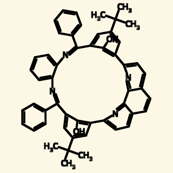 CC(C)(C)c1cc2c(-c3ccccc3)nc3ccccc3nc(-c3ccccc3)c3cc(C(C)(C)C)cc(c3O)c3ccc4ccc5ccc(nc5c4n3)c(c1)c2O